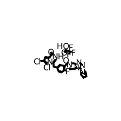 O=C(O)C(F)(F)F.O=C(c1cc(Cc2c[nH]c(=O)c3cc(Cl)c(Cl)n23)ccc1F)N1CCn2c(nnc2N2CCCC2)C1